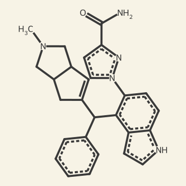 CN1CC2C=C(C(c3ccccc3)c3c(-n4ccc(C(N)=O)n4)ccc4[nH]ccc34)CC2C1